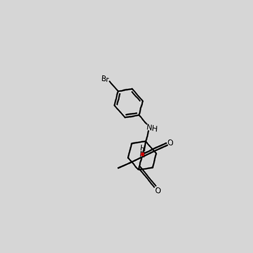 O=C1NC(=O)C2(Nc3ccc(Br)cc3)CCC1CC2